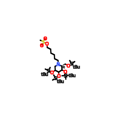 CC(C)(C)[Si](C)(C)OC[C@@H]1C(O[Si](C)(C)C(C)(C)C)C(O[Si](C)(C)C(C)(C)C)C(O[Si](C)(C)C(C)(C)C)CN1CCCCCCOS(C)(=O)=O